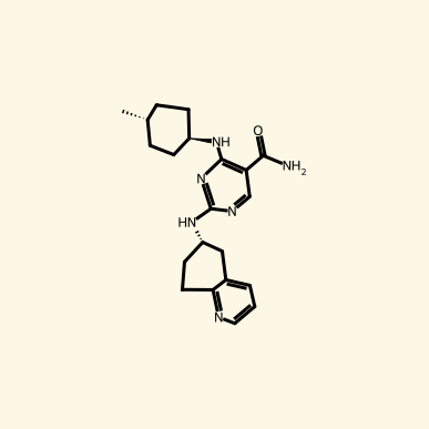 C[C@H]1CC[C@H](Nc2nc(N[C@H]3CCc4ncccc4C3)ncc2C(N)=O)CC1